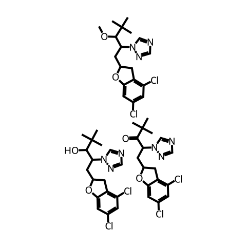 CC(C)(C)C(=O)C(CC1Cc2c(Cl)cc(Cl)cc2O1)n1cncn1.CC(C)(C)C(O)C(CC1Cc2c(Cl)cc(Cl)cc2O1)n1cncn1.COC(C(CC1Cc2c(Cl)cc(Cl)cc2O1)n1cncn1)C(C)(C)C